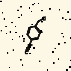 [C-]#[N+]c1ccc(CCl)cc1